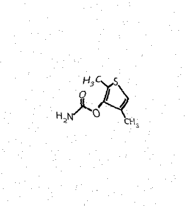 Cc1csc(C)c1OC(N)=O